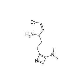 CC/C=C\C(N)CCC1=C(N(C)C)C=N1